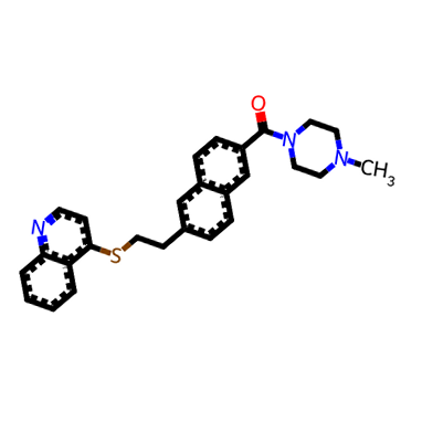 CN1CCN(C(=O)c2ccc3cc(CCSc4ccnc5ccccc45)ccc3c2)CC1